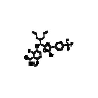 C=CC[C](CC=C)C(Oc1ccc(F)c(C(N)=O)c1F)c1nc(-c2ccc(C(F)(F)F)cc2)c(Br)o1